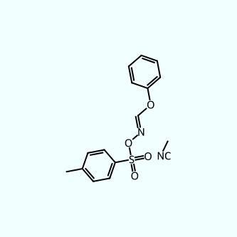 CC#N.Cc1ccc(S(=O)(=O)ON=COc2ccccc2)cc1